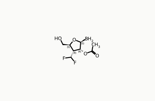 B[C@@H]1O[C@H](CO)[C@@H](C(F)F)[C@H]1OC(C)=O